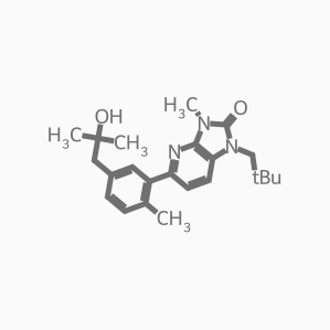 Cc1ccc(CC(C)(C)O)cc1-c1ccc2c(n1)n(C)c(=O)n2CC(C)(C)C